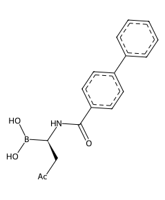 CC(=O)C[C@H](NC(=O)c1ccc(-c2ccccc2)cc1)B(O)O